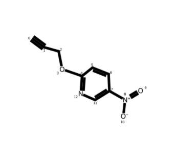 C#CCOc1ccc([N+](=O)[O-])cn1